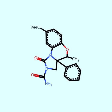 COc1ccc2c(c1)N1C(=O)N(C(N)=O)CC1(c1ccccc1)C(C)O2